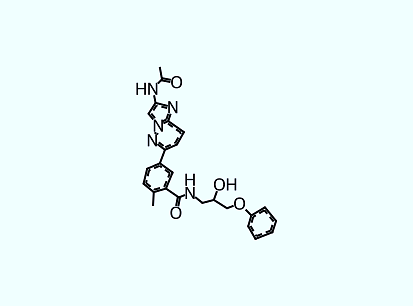 CC(=O)Nc1cn2nc(-c3ccc(C)c(C(=O)NCC(O)COc4ccccc4)c3)ccc2n1